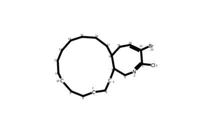 ClC1=N/CC2CCCCCCCCCCCCCC2C/C=C\1Br